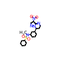 CN(c1cccc(-c2ccnc3c([N+](=O)[O-])cnn23)c1)S(=O)(=O)c1ccccc1